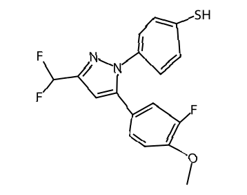 COc1ccc(-c2cc(C(F)F)nn2-c2ccc(S)cc2)cc1F